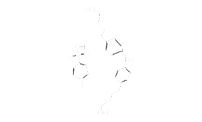 Cc1ccc(S(=O)(=O)O)cc1.OCCCCc1ccc(Pc2ccc(CCCCO)cc2)cc1